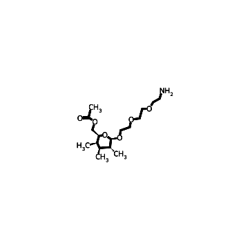 CC(=O)OC[C@H]1O[C@@H](OCCOCCOCCN)[C@H](C)[C@@H](C)[C@H]1C